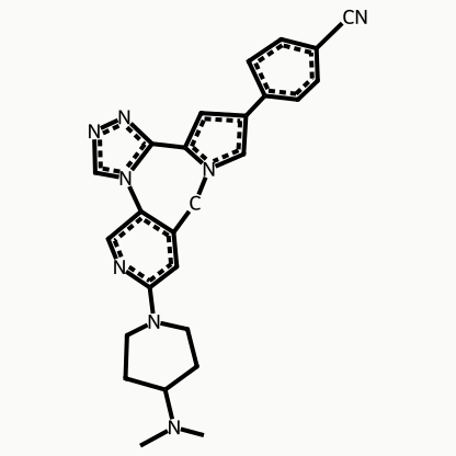 CN(C)C1CCN(c2cc3c(cn2)-n2cnnc2-c2cc(-c4ccc(C#N)cc4)cn2C3)CC1